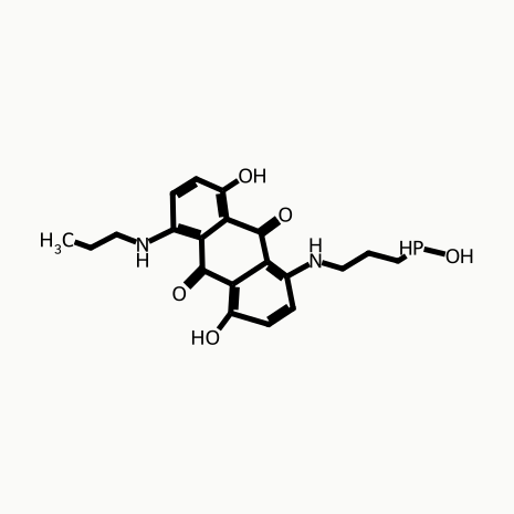 CCCNc1ccc(O)c2c1C(=O)c1c(O)ccc(NCCCPO)c1C2=O